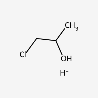 CC(O)CCl.[H+]